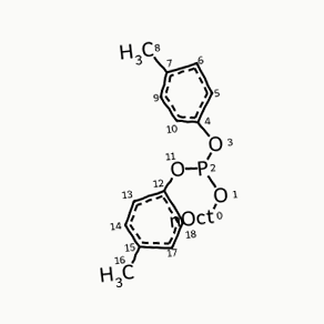 CCCCCCCCOP(Oc1ccc(C)cc1)Oc1ccc(C)cc1